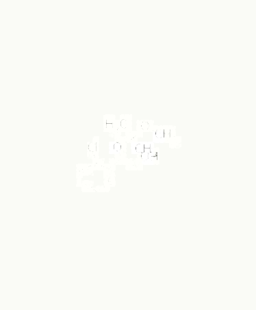 COC(C)(C)O[C@H](CO)c1ccccc1Cl